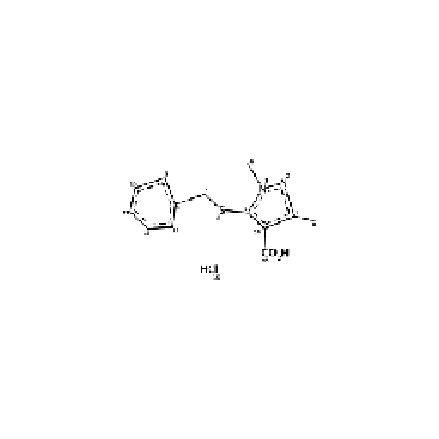 Cc1nn(C)c(SCc2ccccc2)c1C(=O)O.Cl